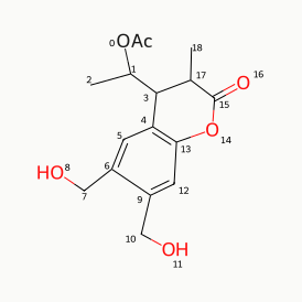 CC(=O)OC(C)C1c2cc(CO)c(CO)cc2OC(=O)C1C